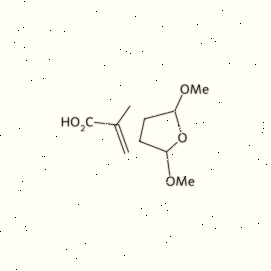 C=C(C)C(=O)O.COC1CCC(OC)O1